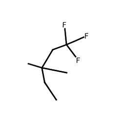 CCC(C)(C)CC(F)(F)F